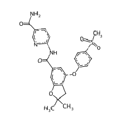 CC1(C)Cc2c(Oc3ccc(S(C)(=O)=O)cc3)cc(C(=O)Nc3ccc(C(N)=O)cn3)cc2O1